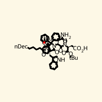 CCCCCCCCCCCCCCC(=O)N(C(=O)OC(C)(C)C)[C@@H](Cc1c[nH]c2ccccc12)C(=O)N([C@@H](CC(N)=O)C(=O)N[C@@H](CC(=O)O)C(=O)OC(C)(C)C)C(c1ccccc1)(c1ccccc1)c1ccccc1